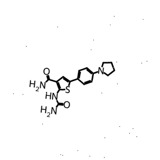 NC(=O)Nc1sc(-c2ccc(N3CCCC3)cc2)cc1C(N)=O